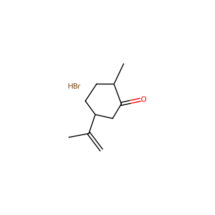 Br.C=C(C)C1CCC(C)C(=O)C1